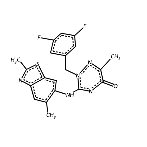 Cc1nc2cc(C)c(Nc3nc(=O)c(C)nn3Cc3cc(F)cc(F)c3)cc2s1